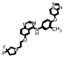 Cc1cc(Nc2ncnc3ccc(OCCN4CCC(F)(F)C4)cc23)ccc1Oc1ccn2ncnc2c1